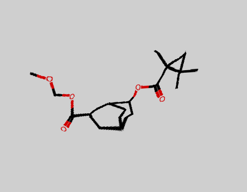 COCOC(=O)C1CC2CC(OC(=O)C3(C)CC3(C)C)C1C2